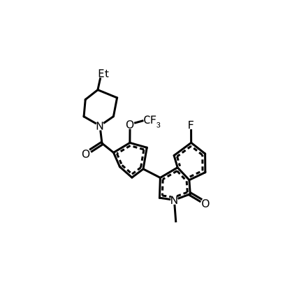 CCC1CCN(C(=O)c2ccc(-c3cn(C)c(=O)c4ccc(F)cc34)cc2OC(F)(F)F)CC1